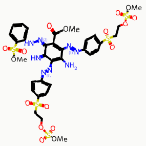 COC(=O)C1=C(/N=N/c2ccc(S(=O)(=O)CCOS(=O)(=O)OC)cc2)C(N)=C(/N=N/c2ccc(S(=O)(=O)CCOS(=O)(=O)OC)cc2)C(=N)/C1=N\Nc1ccccc1S(=O)(=O)OC